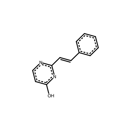 Oc1ccnc(/C=C/c2ccccc2)n1